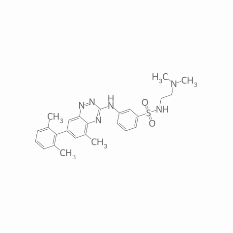 Cc1cccc(C)c1-c1cc(C)c2nc(Nc3cccc(S(=O)(=O)NCCN(C)C)c3)nnc2c1